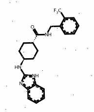 O=C(NCc1ccccc1C(F)(F)F)[C@H]1CC[C@H](Nc2nc3ccccc3[nH]2)CC1